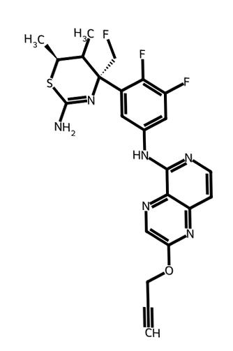 C#CCOc1cnc2c(Nc3cc(F)c(F)c([C@@]4(CF)N=C(N)S[C@@H](C)C4C)c3)nccc2n1